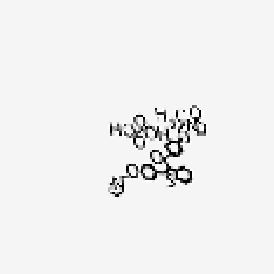 CC(COc1ccc(C(=O)c2c(-c3ccc(OCCN4CCCC4)cc3)sc3ccccc23)cc1)N1CCCC1=O.O=C(O)C(=O)O